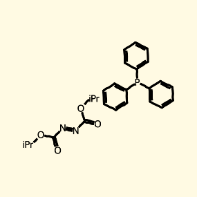 CC(C)OC(=O)N=NC(=O)OC(C)C.c1ccc(P(c2ccccc2)c2ccccc2)cc1